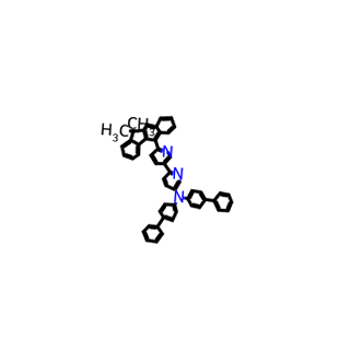 CC1(C)c2ccccc2-c2c1cc1ccccc1c2-c1ccc(-c2ccc(N(c3ccc(-c4ccccc4)cc3)c3ccc(-c4ccccc4)cc3)cn2)cn1